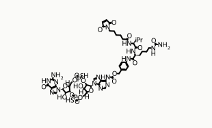 CC(C)[C@H](NC(=O)CCCCCN1C(=O)C=CC1=O)C(=O)N[C@@H](CCCCNC(N)=O)C(=O)Nc1ccc(COC(=O)Nc2ncnc3c2ncn3[C@@H]2O[C@@H]3COP(=O)(S)OC4C(O)[C@H](n5cnc6c(=O)[nH]c(N)nc65)O[C@@H]4COP(=O)(S)OC2[C@H]3O)cc1